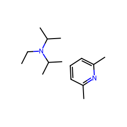 CCN(C(C)C)C(C)C.Cc1cccc(C)n1